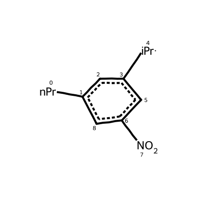 CCCc1cc([C](C)C)cc([N+](=O)[O-])c1